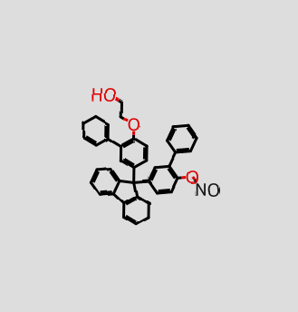 O=NOc1ccc(C2(c3ccc(OCCO)c(C4=CCCC=C4)c3)C3=C(C=CCC3)c3ccccc32)cc1-c1ccccc1